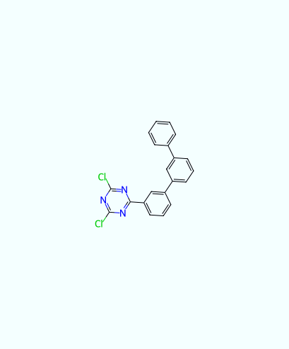 Clc1nc(Cl)nc(-c2cccc(-c3cccc(-c4ccccc4)c3)c2)n1